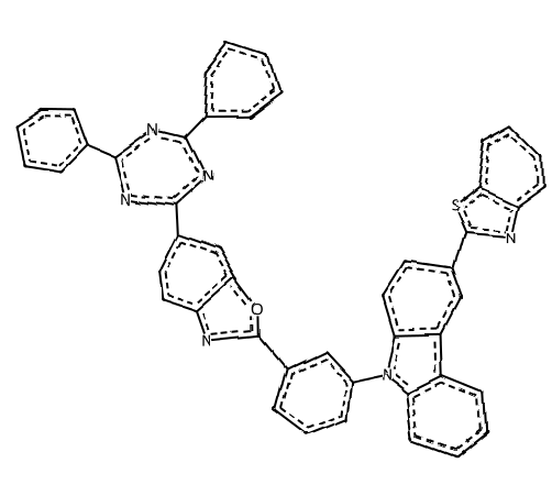 c1ccc(-c2nc(-c3ccccc3)nc(-c3ccc4nc(-c5cccc(-n6c7ccccc7c7cc(-c8nc9ccccc9s8)ccc76)c5)oc4c3)n2)cc1